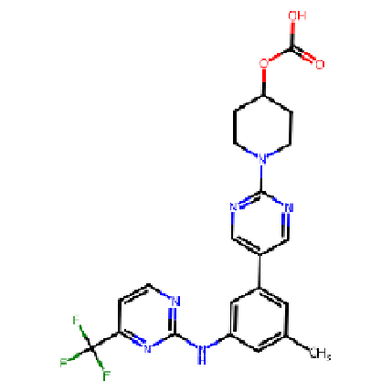 Cc1cc(Nc2nccc(C(F)(F)F)n2)cc(-c2cnc(N3CCC(OC(=O)O)CC3)nc2)c1